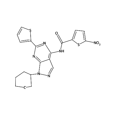 O=C(Nc1nc(-c2cccs2)nc2c1cnn2C1CCCCC1)c1ccc([N+](=O)[O-])s1